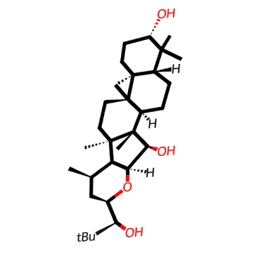 C[C@@H]1C[C@H]([C@@H](O)C(C)(C)C)O[C@H]2C1[C@@]1(C)CC[C@@]34C[C@@]35CC[C@H](O)C(C)(C)[C@@H]5CC[C@H]4[C@]1(C)[C@H]2O